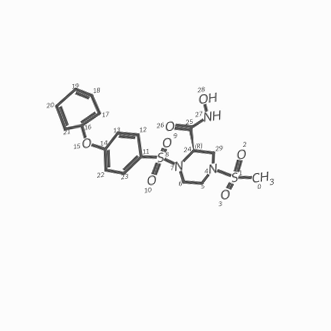 CS(=O)(=O)N1CCN(S(=O)(=O)c2ccc(Oc3ccccc3)cc2)[C@@H](C(=O)NO)C1